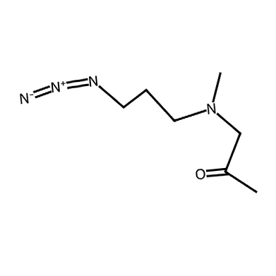 CC(=O)CN(C)CCCN=[N+]=[N-]